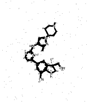 Cc1nn(C2CCN(C)CC2)cc1Nc1nccc(-c2cc(C#N)c3c(c2)[C@@](C)(CO)CN3)n1